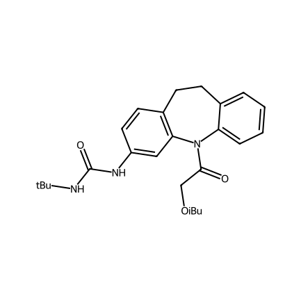 CC(C)COCC(=O)N1c2ccccc2CCc2ccc(NC(=O)NC(C)(C)C)cc21